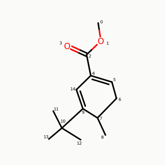 COC(=O)C1=CCC(C)C(C(C)(C)C)=C1